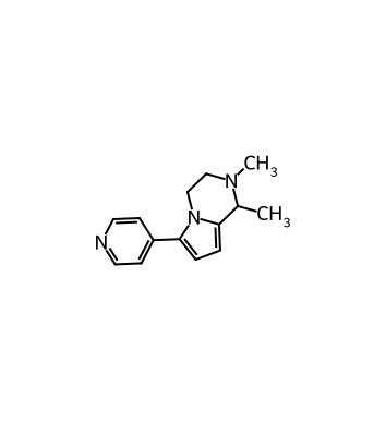 CC1c2ccc(-c3ccncc3)n2CCN1C